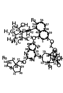 COCOc1cc(Oc2nc3c(N4C[C@H]5CC(F)[C@@H](C4)N5C(=O)O)nc(OC[C@@]45CCCN4C[C@H](F)C5)nc3s2)c2c(C#C[Si](C(C)C)(C(C)C)C(C)C)c(F)ccc2c1